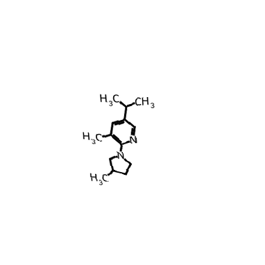 Cc1cc(C(C)C)cnc1N1CCC(C)C1